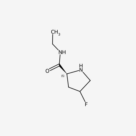 CCNC(=O)[C@@H]1CC(F)CN1